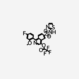 COc1cc(F)ccc1-c1ncc(OC(=O)C(F)(F)F)c2cc(S(=O)(=O)Nc3nccs3)ccc12